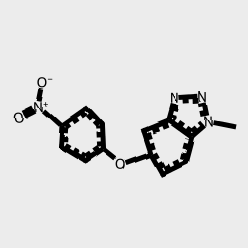 Cn1nnc2cc(Oc3ccc([N+](=O)[O-])cc3)ccc21